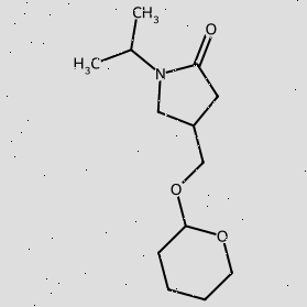 CC(C)N1CC(COC2CCCCO2)CC1=O